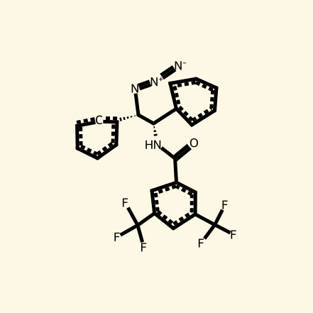 [N-]=[N+]=N[C@@H](c1ccccc1)[C@@H](NC(=O)c1cc(C(F)(F)F)cc(C(F)(F)F)c1)c1ccccc1